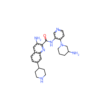 Nc1cc2ccc(C3CCNCC3)cc2nc1C(=O)Nc1cnccc1N1CCCC(N)C1